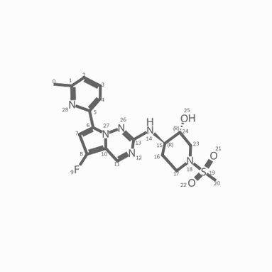 Cc1cccc(-c2cc(F)c3cnc(N[C@@H]4CCN(S(C)(=O)=O)C[C@H]4O)nn23)n1